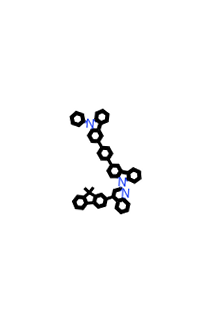 CC1(C)c2ccccc2-c2ccc(-c3cc(-n4c5ccccc5c5cc(-c6ccc(-c7ccc8c(c7)c7ccccc7n8-c7ccccc7)cc6)ccc54)nc4ccccc34)cc21